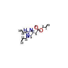 C=CCOC(=O)CC(N)CN(CC=C)CC=C